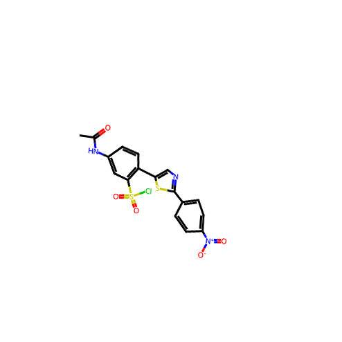 CC(=O)Nc1ccc(-c2cnc(-c3ccc([N+](=O)[O-])cc3)s2)c(S(=O)(=O)Cl)c1